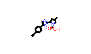 C#Cc1ccc(-c2cnc(C3C=C(C)CN3C(=O)O)[nH]2)cc1